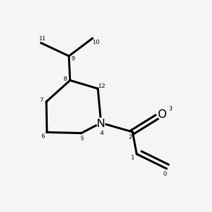 C=CC(=O)N1CCCC(C(C)C)C1